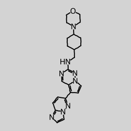 c1cn2nc(-c3ccn4nc(NCC5CCC(N6CCOCC6)CC5)ncc34)ccc2n1